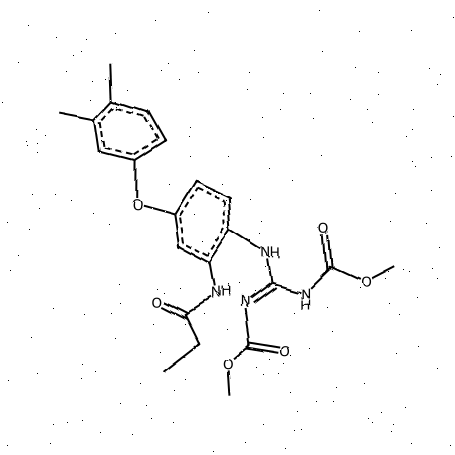 CCC(=O)Nc1cc(Oc2ccc(C)c(C)c2)ccc1NC(=NC(=O)OC)NC(=O)OC